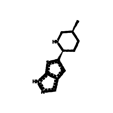 C[C@H]1CC[C@H](c2cc3cn[nH]c3s2)NC1